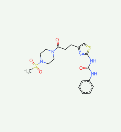 CS(=O)(=O)N1CCN(C(=O)CCc2csc(NC(=O)Nc3ccccc3)n2)CC1